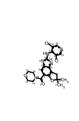 CC1(C)Cc2c(c(C(=O)N3CCOCC3)cc3nc(Nc4c(Cl)cncc4Cl)[nH]c23)O1